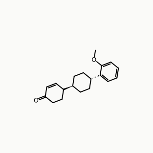 COc1ccccc1[C@H]1CC[C@H](C2C=CC(=O)CC2)CC1